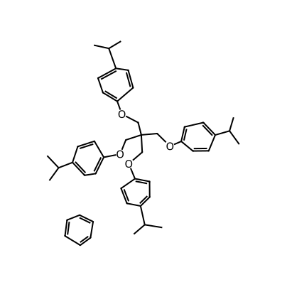 CC(C)c1ccc(OCC(COc2ccc(C(C)C)cc2)(COc2ccc(C(C)C)cc2)COc2ccc(C(C)C)cc2)cc1.c1ccccc1